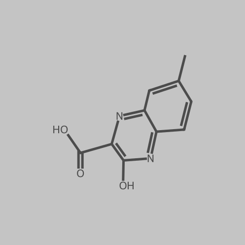 Cc1ccc2nc(O)c(C(=O)O)nc2c1